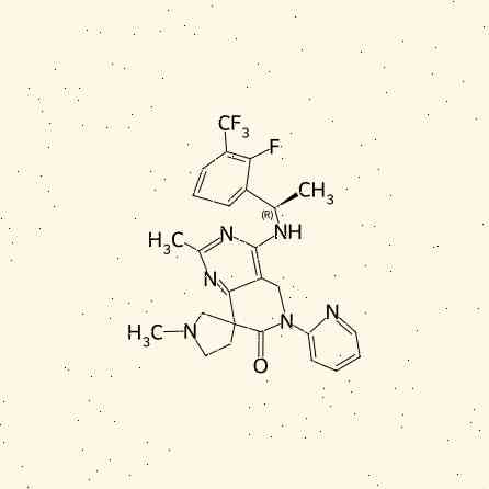 Cc1nc(N[C@H](C)c2cccc(C(F)(F)F)c2F)c2c(n1)C1(CCN(C)C1)C(=O)N(c1ccccn1)C2